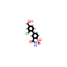 O=C1NS(=O)(=O)c2ccc(-c3ccc(CO)cc3Cl)cc21